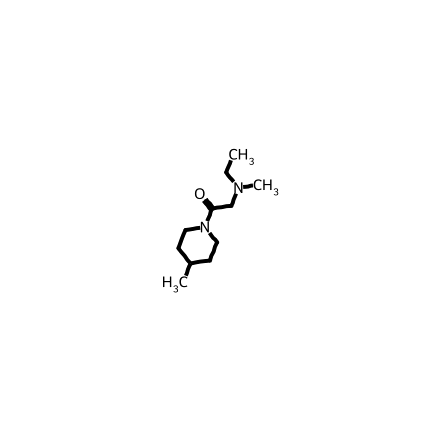 CCN(C)CC(=O)N1CCC(C)CC1